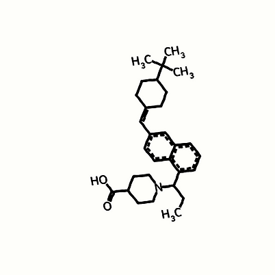 CCC(c1cccc2cc(C=C3CCC(C(C)(C)C)CC3)ccc12)N1CCC(C(=O)O)CC1